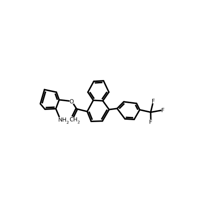 C=C(Oc1ccccc1N)c1ccc(-c2ccc(C(F)(F)F)cc2)c2ccccc12